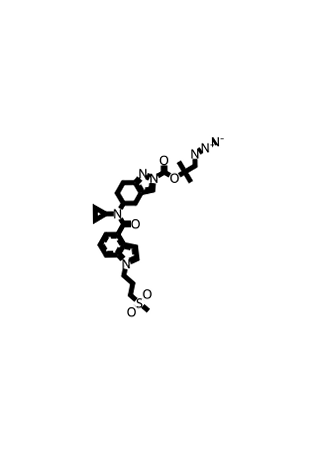 CC(C)(CN=[N+]=[N-])OC(=O)n1cc2c(n1)CCC(N(C(=O)c1cccc3c1ccn3CCCS(C)(=O)=O)C1CC1)C2